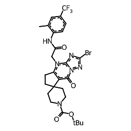 Cc1cc(C(F)(F)F)ccc1NC(=O)Cn1c2c(c(=O)n3nc(Br)nc13)C1(CC2)CCN(C(=O)OC(C)(C)C)CC1